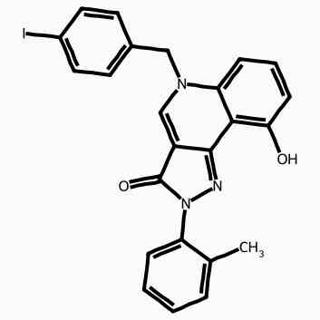 Cc1ccccc1-n1nc2c3c(O)cccc3n(Cc3ccc(I)cc3)cc-2c1=O